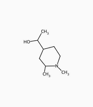 CC(O)C1CCN(C)C(C)C1